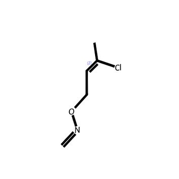 C=NOC/C=C(/C)Cl